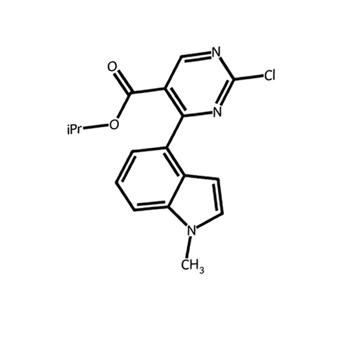 CC(C)OC(=O)c1cnc(Cl)nc1-c1cccc2c1ccn2C